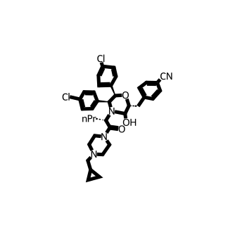 CCC[C@@H](C(=O)N1CCN(CC2CC2)CC1)N1C(O)[C@@H](Cc2ccc(C#N)cc2)O[C@H](c2ccc(Cl)cc2)[C@@H]1c1ccc(Cl)cc1